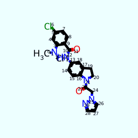 CN(C)c1cc(Cl)ccc1C(=O)Nc1ccc2c(c1)CCN2C(=O)Cn1cccn1